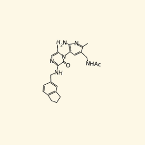 CC(=O)NCc1cc(-n2c(C)cnc(NCc3ccc4c(c3)CCC4)c2=O)c(N)nc1C